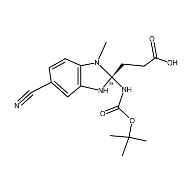 CN1c2ccc(C#N)cc2N[C@@]1(CCC(=O)O)NC(=O)OC(C)(C)C